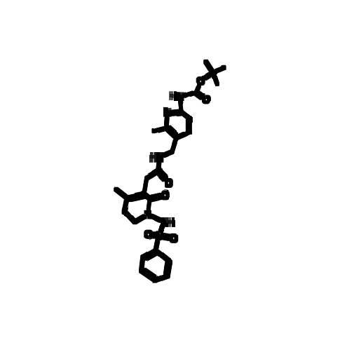 CC1=C(CC(=O)NCc2ccc(NC(=O)OC(C)(C)C)nc2C)C(=O)N(NS(=O)(=O)c2ccccc2)CC1